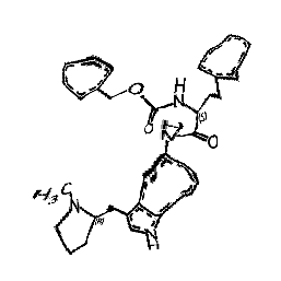 CN1CCC[C@@H]1Cc1c[nH]c2ccc(NC(=O)[C@H](Cc3ccccc3)NC(=O)OCc3ccccc3)cc12